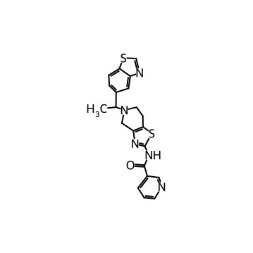 CC(c1ccc2scnc2c1)N1CCc2sc(NC(=O)c3cccnc3)nc2C1